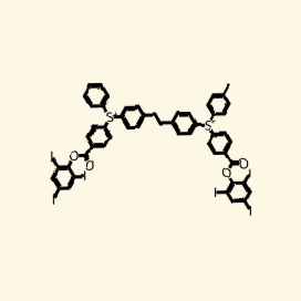 Cc1ccc([S+](c2ccc(CCc3ccc([S+](c4ccccc4)c4ccc(C(=O)Oc5c(I)cc(I)cc5I)cc4)cc3)cc2)c2ccc(C(=O)Oc3c(I)cc(I)cc3I)cc2)cc1